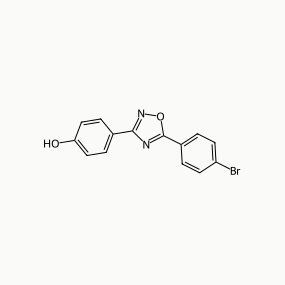 Oc1ccc(-c2noc(-c3ccc(Br)cc3)n2)cc1